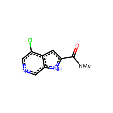 CNC(=O)c1cc2c(Cl)cncc2[nH]1